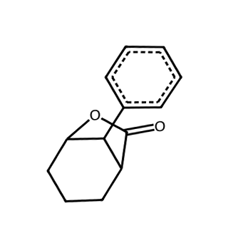 O=C1OC2CCCC1C2c1ccccc1